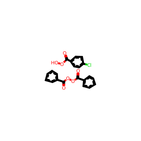 O=C(OO)c1ccc(Cl)cc1.O=C(OOC(=O)c1ccccc1)c1ccccc1